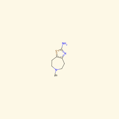 CC(C)N1CCc2nc(N)sc2CC1